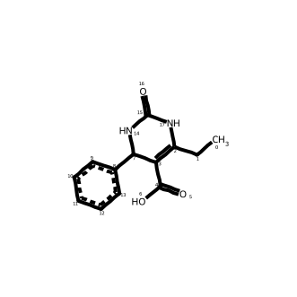 CCC1=C(C(=O)O)C(c2ccccc2)NC(=O)N1